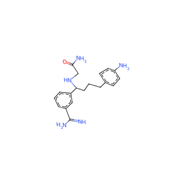 N=C(N)c1cccc(C(CCCc2ccc(N)cc2)NCC(N)=O)c1